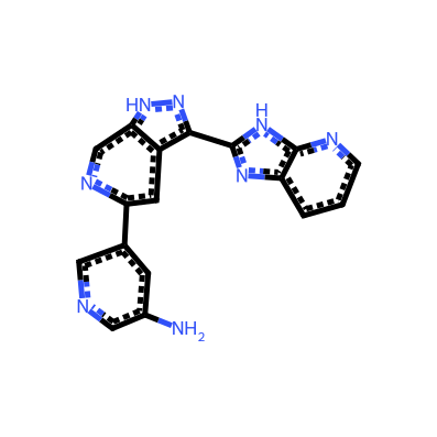 Nc1cncc(-c2cc3c(-c4nc5cccnc5[nH]4)n[nH]c3cn2)c1